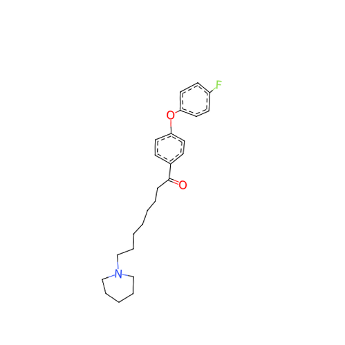 O=C(CCCCCCCN1CCCCC1)c1ccc(Oc2ccc(F)cc2)cc1